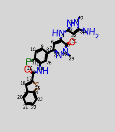 Cn1nc(Nc2cc(-c3ccc(F)c(NC(=O)c4cc5ccccc5s4)c3)nn(C)c2=O)cc1N